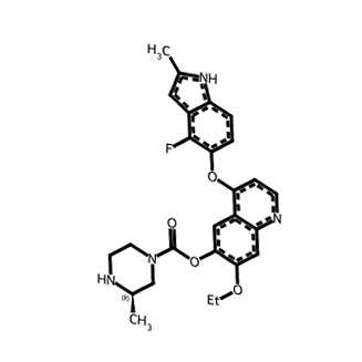 CCOc1cc2nccc(Oc3ccc4[nH]c(C)cc4c3F)c2cc1OC(=O)N1CCN[C@H](C)C1